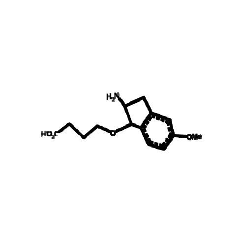 COc1ccc2c(c1)CC(N)C2OCCCC(=O)O